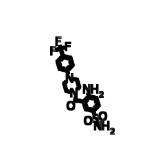 Nc1ccc(S(N)(=O)=O)cc1C(=O)N1CCN(c2ccc(C(F)(F)F)cc2)CC1